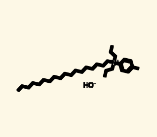 CCCCCCCCCCCCCCCCCC[N+](CCC)(CCC)c1ccc(C)cc1.[OH-]